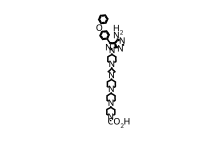 Nc1ncnc2c1c(-c1ccc(Oc3ccccc3)cc1)nn2C1CCN(C2CN(C3CCN(C4CCN(C5CCN(C(=O)O)CC5)CC4)CC3)C2)CC1